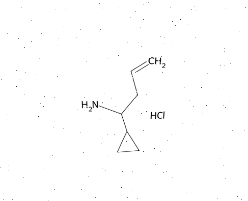 C=CCC(N)C1CC1.Cl